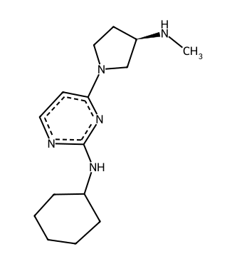 CN[C@@H]1CCN(c2ccnc(NC3CCCCC3)n2)C1